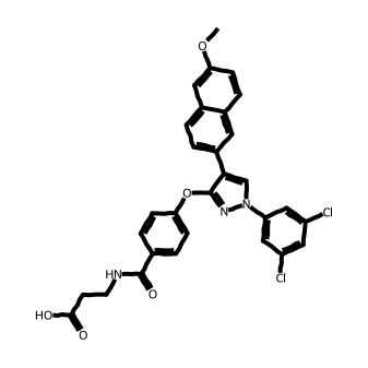 COc1ccc2cc(-c3cn(-c4cc(Cl)cc(Cl)c4)nc3Oc3ccc(C(=O)NCCC(=O)O)cc3)ccc2c1